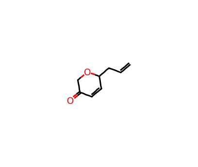 C=CCC1C=CC(=O)CO1